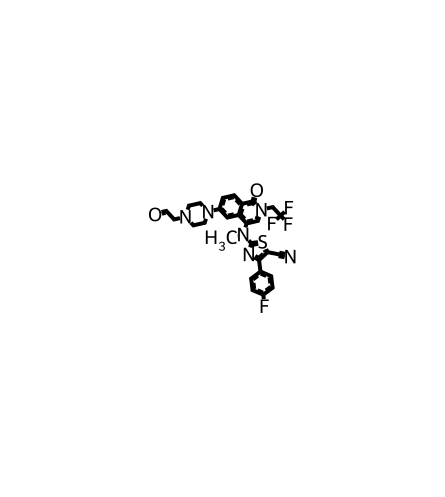 CN(c1nc(-c2ccc(F)cc2)c(C#N)s1)c1cn(CC(F)(F)F)c(=O)c2ccc(N3CCN(CC=O)CC3)cc12